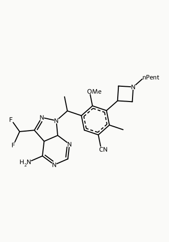 CCCCCN1CC(c2c(C)c(C#N)cc(C(C)N3N=C(C(F)F)C4C(N)=NC=NC43)c2OC)C1